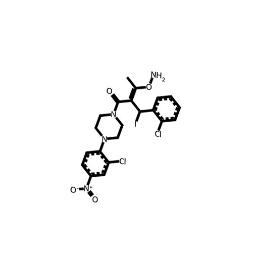 C/C(ON)=C(\C(=O)N1CCN(c2ccc([N+](=O)[O-])cc2Cl)CC1)C(I)c1ccccc1Cl